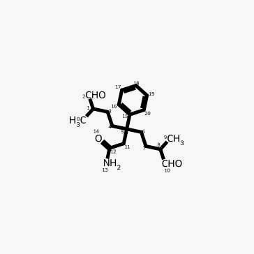 CC(C=O)CCC(CCC(C)C=O)(CC(N)=O)c1ccccc1